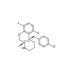 Fc1ccc(F)c2c1OC[C@H]1NCCC[C@@]21Cc1ccc(Cl)cc1